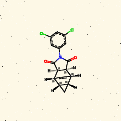 O=C1[C@@H]2[C@@H]3C=C[C@@H]([C@@H]4C[C@H]34)[C@@H]2C(=O)N1c1cc(Cl)cc(Cl)c1